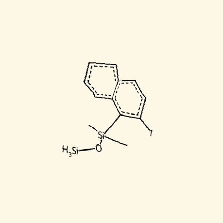 C[Si](C)(O[SiH3])c1c(I)ccc2ccccc12